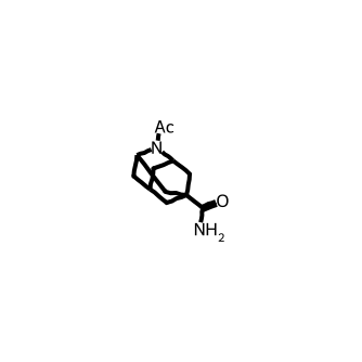 CC(=O)N1C2CC3CC1CC(C(N)=O)(C3)C2